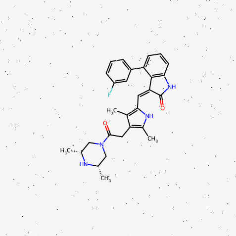 Cc1[nH]c(/C=C2\C(=O)Nc3cccc(-c4cccc(F)c4)c32)c(C)c1CC(=O)N1C[C@@H](C)N[C@@H](C)C1